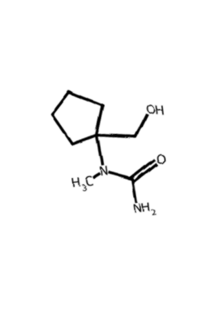 CN(C(N)=O)C1(CO)CCCC1